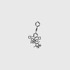 Cc1nn(C)c(C)c1NS(=O)(=O)c1c(Cl)cc(C#Cc2ccccc2)cc1Cl